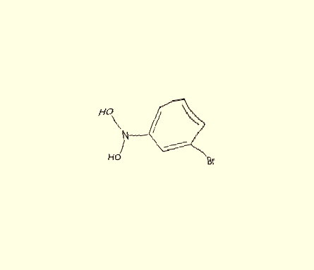 ON(O)c1cccc(Br)c1